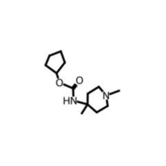 CN1CCC(C)(NC(=O)OC2CCCC2)CC1